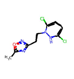 Cc1nc(CCN2NC(Cl)=CC=C2Cl)no1